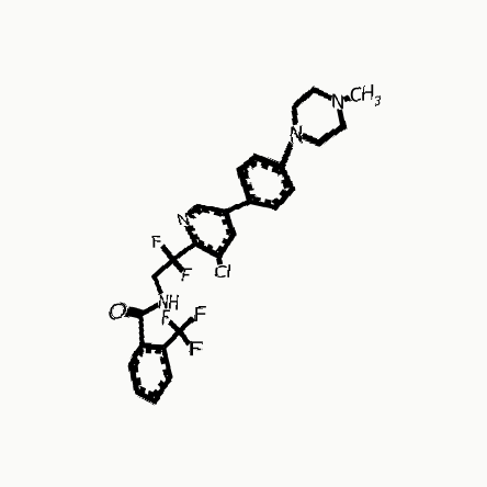 CN1CCN(c2ccc(-c3cnc(C(F)(F)CNC(=O)c4ccccc4C(F)(F)F)c(Cl)c3)cc2)CC1